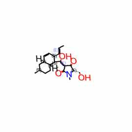 C/C=C/[C@@H]1C=C[C@@H]2C[C@H](C)CC[C@H]2[C@]1(C)/C(O)=C1/C(=O)[C@H](CO)N(C)C1=O